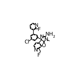 CN1C(=O)C(c2cc(Cl)cc(-c3cccnc3F)c2)(c2ccnc(CF)c2)N=C1N